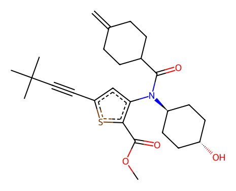 C=C1CCC(C(=O)N(c2cc(C#CC(C)(C)C)sc2C(=O)OC)[C@H]2CC[C@H](O)CC2)CC1